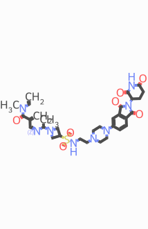 C=CN(C)C(=O)C(=C)/C=N\C(C)N1CC(S(=O)(=O)NCCN2CCN(c3ccc4c(c3)C(=O)N(C3CCC(=O)NC3=O)C4=O)CC2)C1